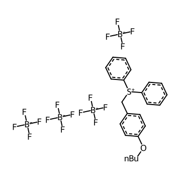 CCCCOc1ccc(C[S+](c2ccccc2)c2ccccc2)cc1.F[B-](F)(F)F.F[B-](F)(F)F.F[B-](F)(F)F.F[B-](F)(F)F